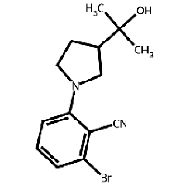 CC(C)(O)C1CCN(c2cccc(Br)c2C#N)C1